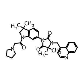 CC1(C)CN(C(=O)CN2CCCC2)c2cc(N3C(=O)N(Cc4ccnc5ccccc45)C(C)(C)C3=O)ccc21